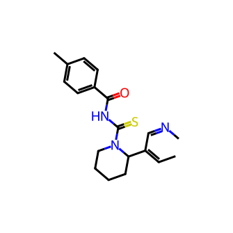 C/C=C(\C=N/C)C1CCCCN1C(=S)NC(=O)c1ccc(C)cc1